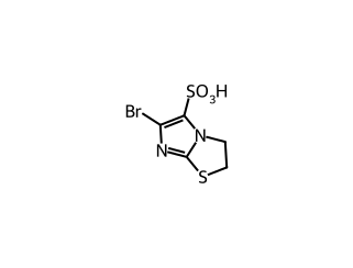 O=S(=O)(O)c1c(Br)nc2n1CCS2